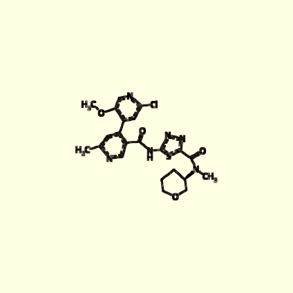 COc1cnc(Cl)cc1-c1cc(C)ncc1C(=O)Nc1nnc(C(=O)N(C)[C@@H]2CCCOC2)s1